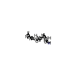 C/N=C\c1cc(Nc2cc(C)nc(-c3cnc(C(=O)NCc4ccc(-c5cc(F)cnc5C)nc4)c(C)c3)n2)no1